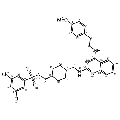 COc1ccc(CCNc2nc(NC[C@H]3CC[C@H](CNS(=O)(=O)c4cc(Cl)cc(Cl)c4)CC3)nc3ccccc23)cc1